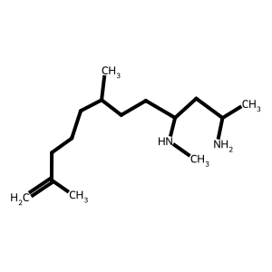 C=C(C)CCCC(C)CCC(CC(C)N)NC